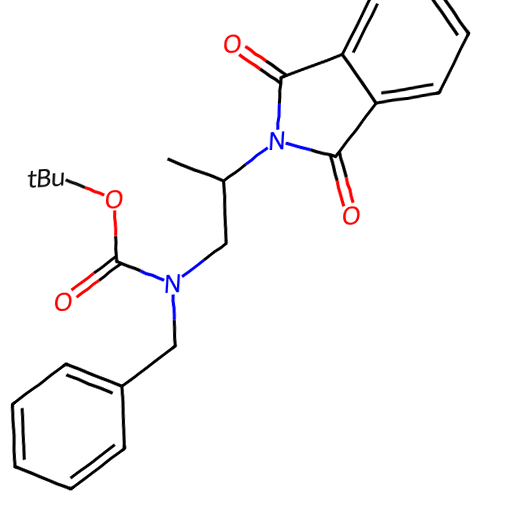 CC(CN(Cc1ccccc1)C(=O)OC(C)(C)C)N1C(=O)c2ccccc2C1=O